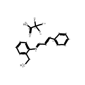 CCc1ccccc1N=CC=Cc1ccccc1.O=C(O)C(F)(F)F